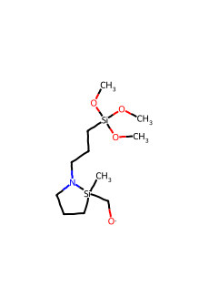 CO[Si](CCCN1CCC[Si]1(C)C[O])(OC)OC